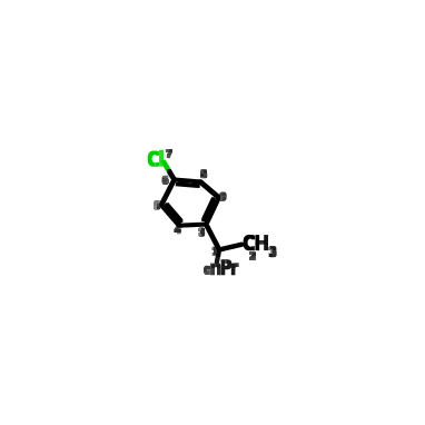 [CH2]CCC(C)c1ccc(Cl)cc1